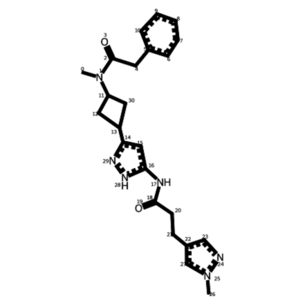 CN(C(=O)Cc1ccccc1)C1CC(c2cc(NC(=O)CCc3cnn(C)c3)[nH]n2)C1